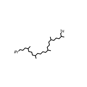 [2H]CC(C)CCCC(C)CCCC(C)CCCCC(C)CCCC(C)CCCC(C)C